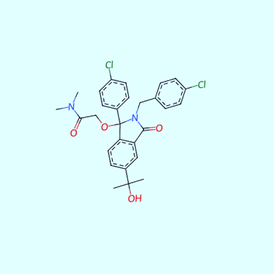 CN(C)C(=O)COC1(c2ccc(Cl)cc2)c2ccc(C(C)(C)O)cc2C(=O)N1Cc1ccc(Cl)cc1